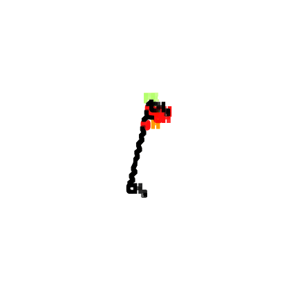 CCCCCCCCCCCCCCCCOCC(COCC(F)(F)F)C[PH](O)(O)OC